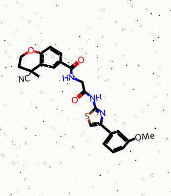 COc1cccc(-c2csc(NC(=O)CNC(=O)c3ccc4c(c3)[C@](C)(C#N)CCO4)n2)c1